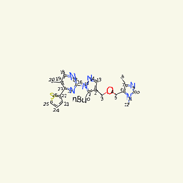 CCCCc1c(COCc2c(C)ncn2C)cnn1-c1ncc(C)c(-c2cccs2)n1